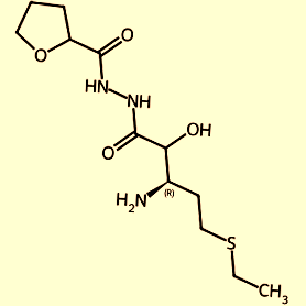 CCSCC[C@@H](N)C(O)C(=O)NNC(=O)C1CCCO1